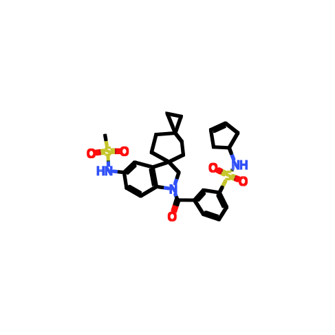 CS(=O)(=O)Nc1ccc2c(c1)C1(CCC3(CC3)CC1)CN2C(=O)c1cccc(S(=O)(=O)NC2CC=CC2)c1